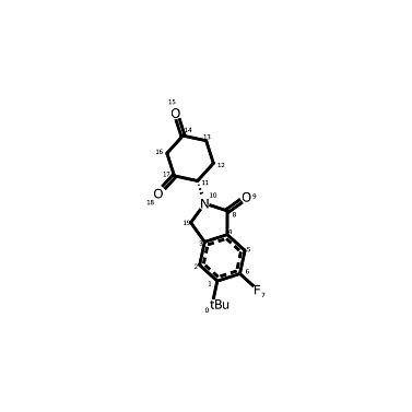 CC(C)(C)c1cc2c(cc1F)C(=O)N([C@H]1CCC(=O)CC1=O)C2